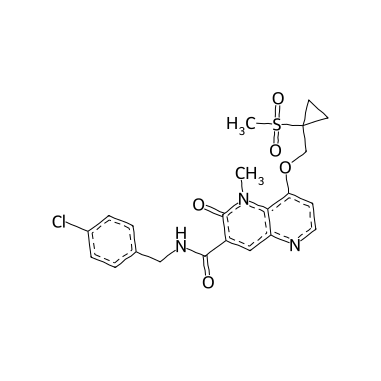 Cn1c(=O)c(C(=O)NCc2ccc(Cl)cc2)cc2nccc(OCC3(S(C)(=O)=O)CC3)c21